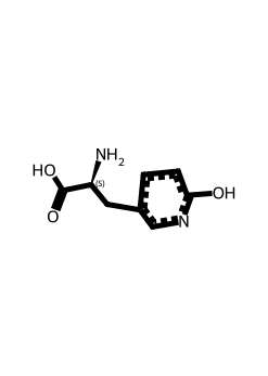 N[C@@H](Cc1ccc(O)nc1)C(=O)O